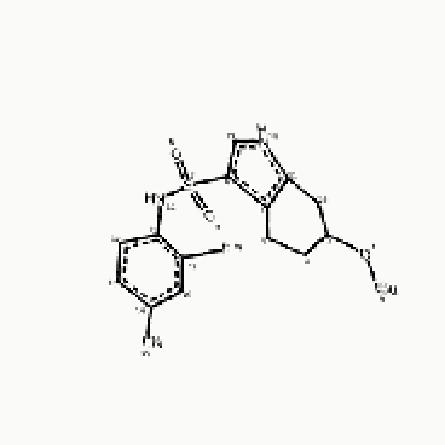 CC(C)(C)OC1CCc2c(S(=O)(=O)Nc3ccc(C#N)cc3F)c[nH]c2C1